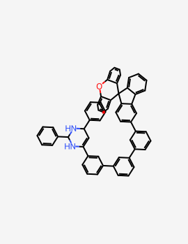 C1=C(c2cccc(-c3cccc(-c4cccc(-c5ccc6c(c5)-c5ccccc5C65c6ccccc6Oc6ccccc65)c4)c3)c2)NC(c2ccccc2)NC1c1ccccc1